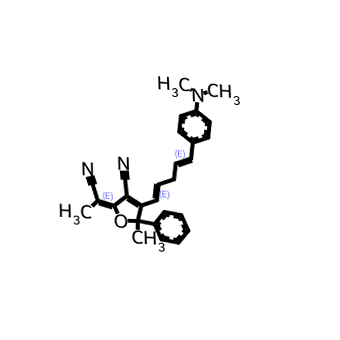 C/C(C#N)=C1\OC(C)(c2ccccc2)C(/C=C/C/C=C/c2ccc(N(C)C)cc2)=C1C#N